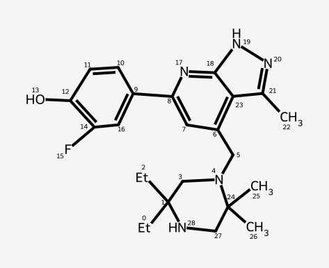 CCC1(CC)CN(Cc2cc(-c3ccc(O)c(F)c3)nc3[nH]nc(C)c23)C(C)(C)CN1